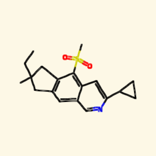 CCC1(C)Cc2cc3cnc(C4CC4)cc3c(S(C)(=O)=O)c2C1